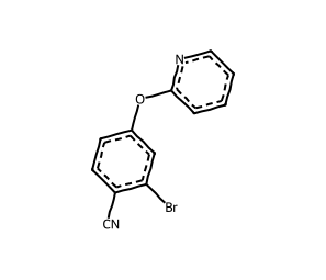 N#Cc1ccc(Oc2ccccn2)cc1Br